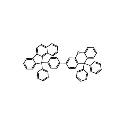 c1ccc(C2(c3ccccc3)c3ccccc3Oc3cc(-c4ccc(C5(c6ccccc6)c6ccccc6-c6ccc7ccccc7c65)cc4)ccc32)cc1